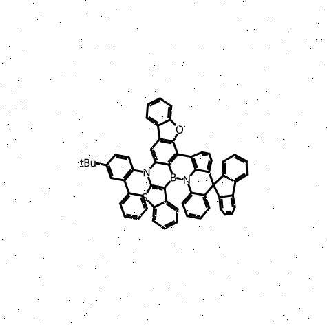 CC(C)(C)c1ccc(N2c3cc4c(oc5ccccc54)c4c3B(c3c2sc2ccccc32)N2c3ccccc3C3(c5ccccc5-c5ccccc53)c3cccc-4c32)c(-c2ccccc2)c1